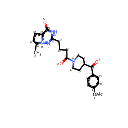 COc1ccc(C(=O)C2CCN(C(=O)CCCc3nn4c(C)ccc4c(=O)[nH]3)CC2)cc1